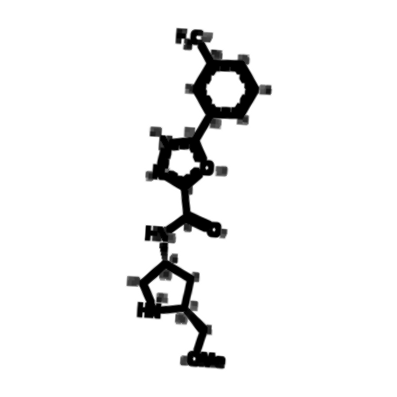 COC[C@@H]1C[C@@H](NC(=O)c2nnc(-c3cccc(C(F)(F)F)c3)o2)CN1